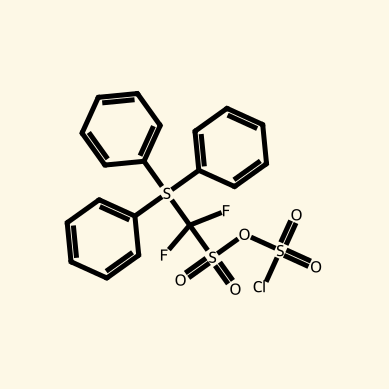 O=S(=O)(Cl)OS(=O)(=O)C(F)(F)S(c1ccccc1)(c1ccccc1)c1ccccc1